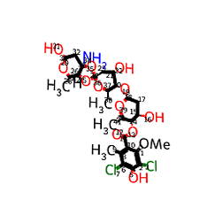 COc1c(Cl)c(O)c(Cl)c(C)c1C(=O)O[C@H]1[C@H](O)C[C@H](O[C@H]2[C@H](O)C[C@]3(O[C@@H]4[C@@H](C)O[C@@H](O)C[C@@]4(N)O3)O[C@@H]2C)O[C@@H]1C